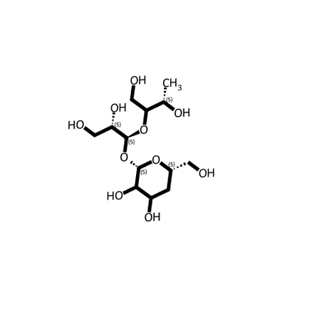 C[C@H](O)C(CO)O[C@@H](O[C@@H]1O[C@H](CO)CC(O)C1O)[C@@H](O)CO